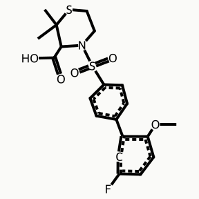 COc1ccc(F)cc1-c1ccc(S(=O)(=O)N2CCSC(C)(C)C2C(=O)O)cc1